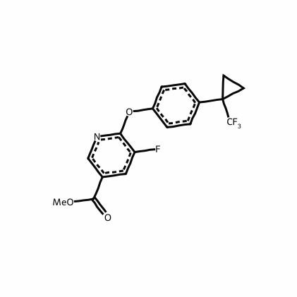 COC(=O)c1cnc(Oc2ccc(C3(C(F)(F)F)CC3)cc2)c(F)c1